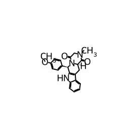 COc1ccc([C@@H]2c3[nH]c4ccccc4c3C[C@@H]3C(=O)N(C)CC(=O)N23)cc1